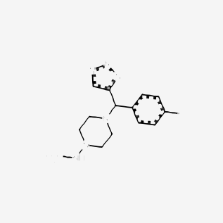 CCOC(=O)NN1CCN(C(c2ccc(Cl)cc2)c2c[nH]nn2)CC1